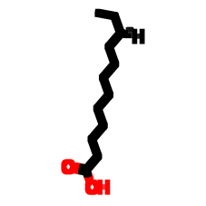 [2H]C(CC)CCCCCCCCC(=O)O